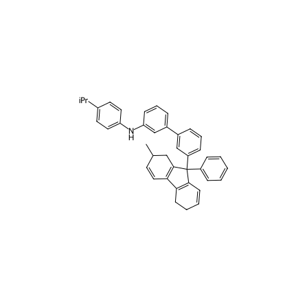 CC1C=CC2=C(C1)C(c1ccccc1)(c1cccc(-c3cccc(Nc4ccc(C(C)C)cc4)c3)c1)C1=C2CCC=C1